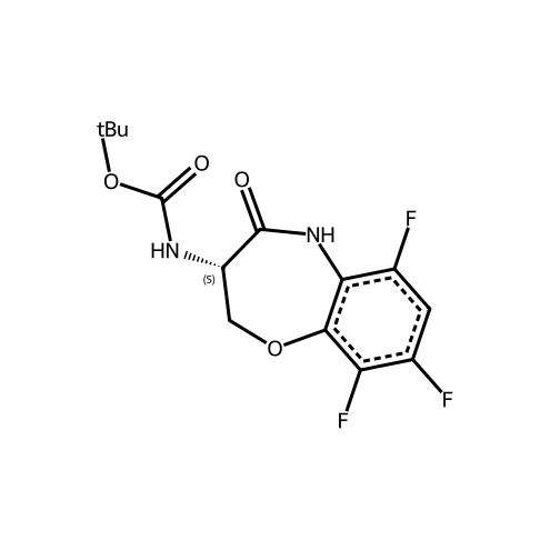 CC(C)(C)OC(=O)N[C@H]1COc2c(F)c(F)cc(F)c2NC1=O